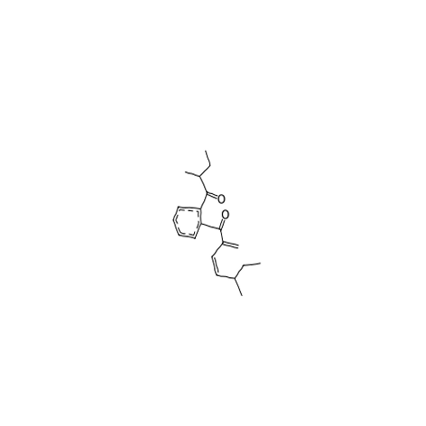 C=C(/C=C\C(C)CC)C(=O)c1ccccc1C(=O)C(C)CC